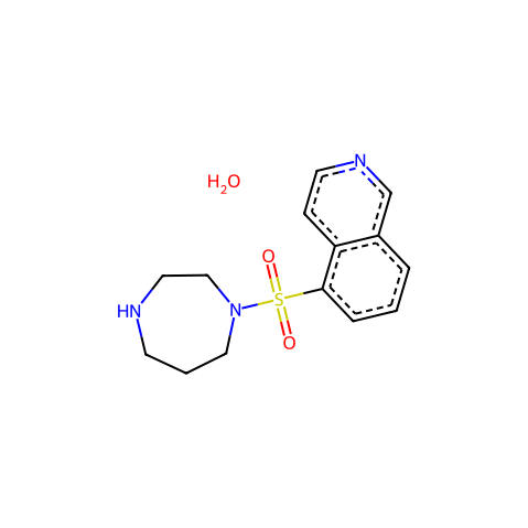 O.O=S(=O)(c1cccc2cnccc12)N1CCCNCC1